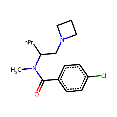 CCCC(CN1CCC1)N(C)C(=O)c1ccc(Cl)cc1